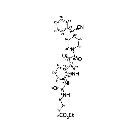 CCOC(=O)CCCNC(=O)Nc1cccc2c(C(=O)C(=O)N3CCC(=C(C#N)c4ccccc4)CC3)c[nH]c12